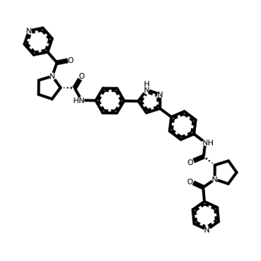 O=C(Nc1ccc(-c2cc(-c3ccc(NC(=O)[C@@H]4CCCN4C(=O)c4ccncc4)cc3)[nH]n2)cc1)[C@@H]1CCCN1C(=O)c1ccncc1